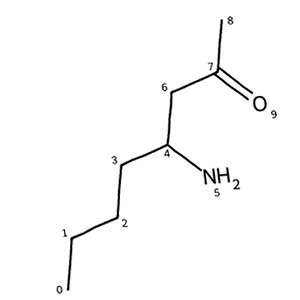 CCCCC(N)CC(C)=O